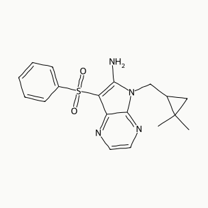 CC1(C)CC1Cn1c(N)c(S(=O)(=O)c2ccccc2)c2nccnc21